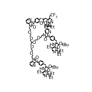 CCc1cnc(N(CC)CC)nc1N[C@@H](Cc1ccc(-n2c(=O)n(CCOCCOCC(COCCOCCn3c(=O)n(-c4ccc(C[C@H](Cc5nc(N(CC)CC)ncc5CC(F)(F)F)C(=O)OC(C)(C)C)cc4)c4ncccc43)OCCOCCn3c(=O)n(-c4ccc(C[C@H](Nc5nc(N(CC)CC)ncc5CC)C(=O)OC(C)(C)C)cc4)c4ncccc43)c3cccnc32)cc1)C(=O)OC(C)(C)C